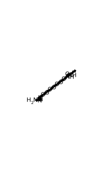 CCCCCNC(=O)NCCOCCOCCOCCOCCOCCOCCOCCn1cc(CN)nn1